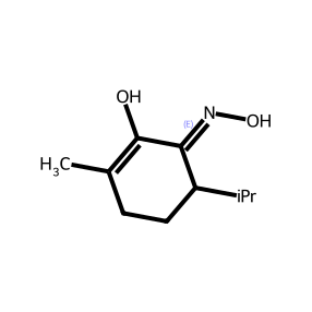 CC1=C(O)/C(=N/O)C(C(C)C)CC1